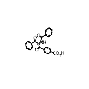 O=C(O)c1ccc(C(=O)N(NC(=O)c2ccccc2)C(=O)c2ccccc2)cc1